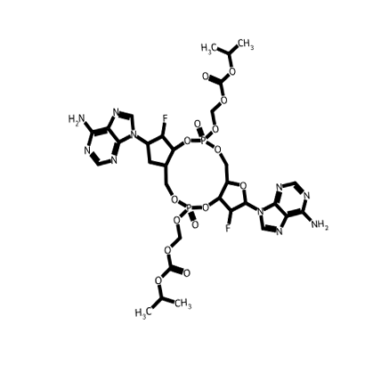 CC(C)OC(=O)OCOP1(=O)OCC2OC(n3cnc4c(N)ncnc43)C(F)C2OP(=O)(OCOC(=O)OC(C)C)OCC2CC(n3cnc4c(N)ncnc43)C(F)C2O1